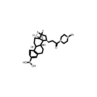 CC(C)N1CCN(C(=O)CC[C@@H]2CC(F)(F)[C@@]3(C)CC[C@@H]4c5ccc(B(O)O)cc5CC[C@H]4[C@H]23)CC1